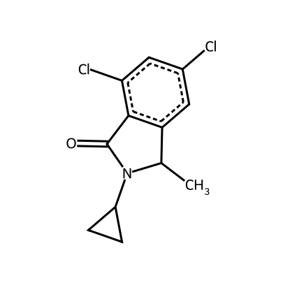 CC1c2cc(Cl)cc(Cl)c2C(=O)N1C1CC1